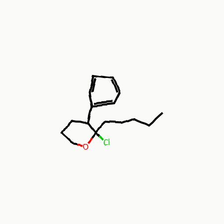 CCCCCC1(Cl)OCCCC1c1ccccc1